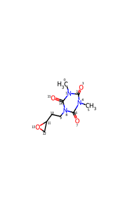 Cn1c(=O)n(C)c(=O)n(CCC2CO2)c1=O